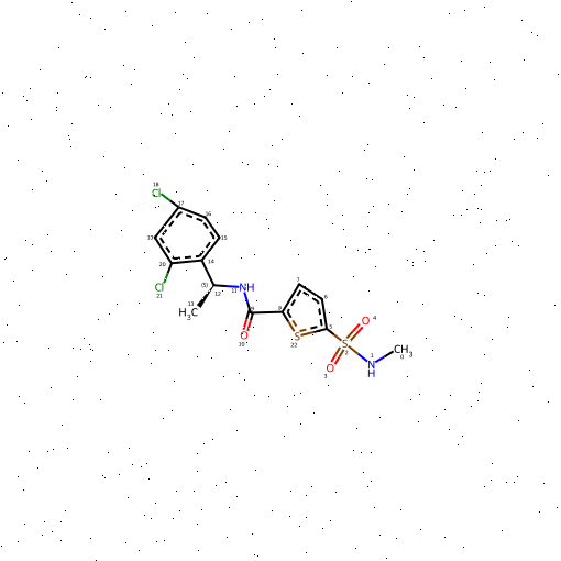 CNS(=O)(=O)c1ccc(C(=O)N[C@@H](C)c2ccc(Cl)cc2Cl)s1